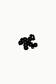 CC1(C)CCC(C)(C)c2cc(Nc3cc4c(cc3-c3c5c(cc6ccccc36)N3c6ccccc6C(C)(C)c6cccc(c63)B5)oc3ccccc34)ccc21